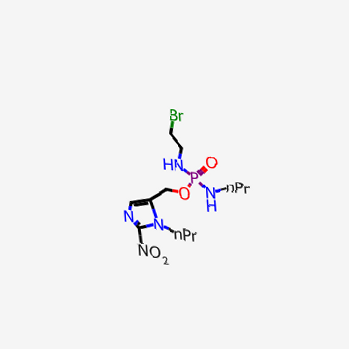 CCCNP(=O)(NCCBr)OCc1cnc([N+](=O)[O-])n1CCC